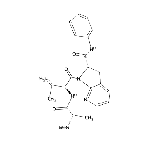 C=C(C)[C@H](NC(=O)[C@H](C)NC)C(=O)N1c2ncccc2C[C@H]1C(=O)Nc1ccccc1